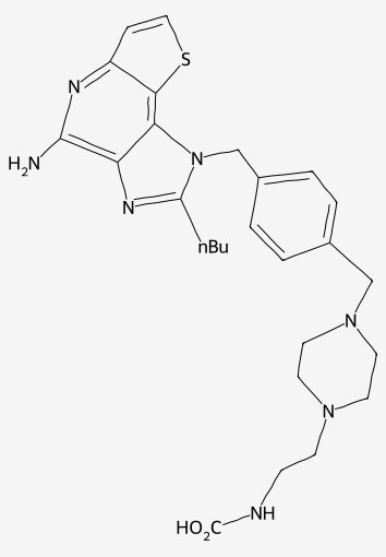 CCCCc1nc2c(N)nc3ccsc3c2n1Cc1ccc(CN2CCN(CCNC(=O)O)CC2)cc1